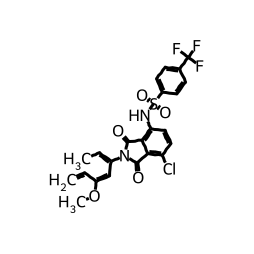 C=C/C(=C\C(=C/C)N1C(=O)c2c(Cl)ccc(NS(=O)(=O)c3ccc(C(F)(F)F)cc3)c2C1=O)OC